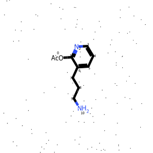 CC(=O)Oc1ncccc1CCCN